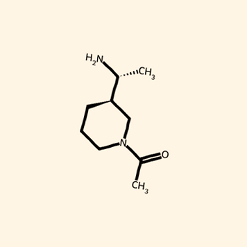 CC(=O)N1CCC[C@@H]([C@@H](C)N)C1